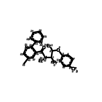 CCCC(C(CC)Oc1ccc(C(F)(F)F)cn1)N(CC)C(=O)c1cc(C)cnc1-c1ncccn1